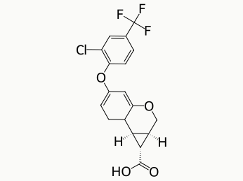 O=C(O)[C@H]1[C@@H]2COC3=CC(Oc4ccc(C(F)(F)F)cc4Cl)=CCC3[C@@H]21